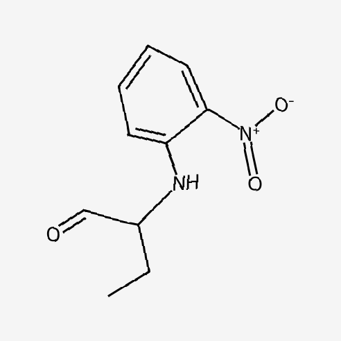 CCC(C=O)Nc1ccccc1[N+](=O)[O-]